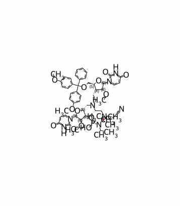 COc1ccc(C(OC[C@H]2O[C@@H](n3ccc(=O)[nH]c3=O)[C@H](OC)[C@@H]2CCN(CCN(C)C)C[C@H]2O[C@@H](n3ccc(=O)[nH]c3=O)[C@H](OC)[C@@H]2OP(O)N(C(C)C)C(C)(C)CCC#N)(c2ccccc2)c2ccc(OC)cc2)cc1